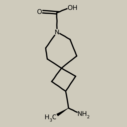 C[C@H](N)C1CC2(CCN(C(=O)O)CC2)C1